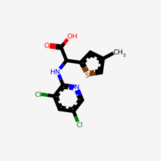 Cc1csc(C(Nc2ncc(Cl)cc2Cl)C(=O)O)c1